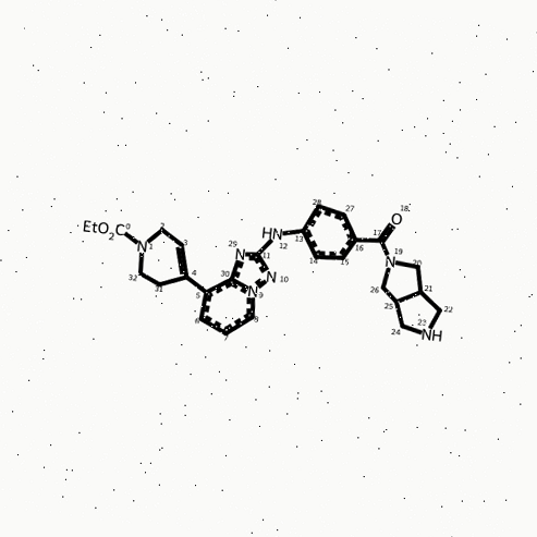 CCOC(=O)N1CC=C(c2cccn3nc(Nc4ccc(C(=O)N5CC6CNCC6C5)cc4)nc23)CC1